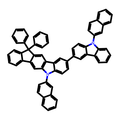 c1ccc(C2(c3ccccc3)c3ccccc3-c3cc4c(cc32)c2cc(-c3ccc5c(c3)c3ccccc3n5-c3ccc5ccccc5c3)ccc2n4-c2ccc3ccccc3c2)cc1